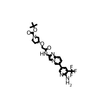 CC(C)(C)OC(=O)N1CC[C@@H](OCC(=O)Nc2cn3cc(-c4cnc(N)c(C(F)(F)F)c4)ccc3n2)C1